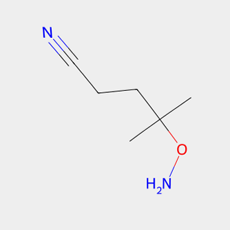 CC(C)(CCC#N)ON